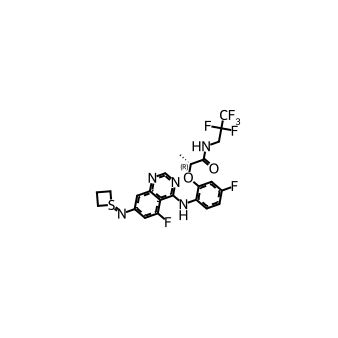 C[C@@H](Oc1cc(F)ccc1Nc1ncnc2cc(N=S3CCC3)cc(F)c12)C(=O)NCC(F)(F)C(F)(F)F